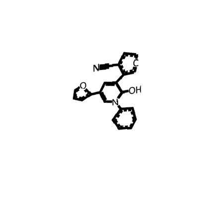 N#Cc1ccccc1C1=CC(c2ccco2)=CN(c2ccccc2)C1O